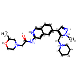 CC1CN(CC(=O)Nc2cc3cc(-c4cnn(C)c4CN4CCCCC4)ccc3cn2)CCO1